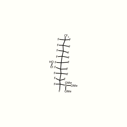 CCO.CO[Si](OC)(OC)C(F)(F)C(F)(F)C(F)(F)C(F)(F)C(F)(F)C(F)(F)C(F)(F)C(F)(F)C(F)(F)C(F)(F)F